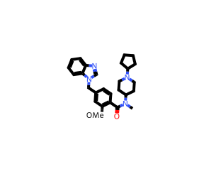 COc1cc(Cn2cnc3ccccc32)ccc1C(=O)N(C)C1CCN(C2CCCC2)CC1